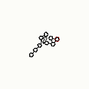 c1ccc(-c2ccc(-c3ccc(N(c4ccc(-c5cccc(-c6ccccc6)c5-c5ccccc5-c5ccccc5)cc4)c4cccc5c4oc4ccccc45)cc3)cc2)cc1